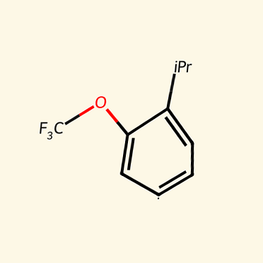 CC(C)c1cc[c]cc1OC(F)(F)F